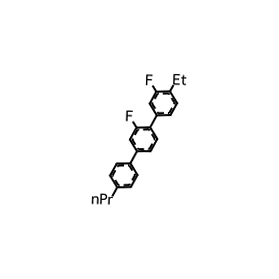 CCCc1ccc(-c2ccc(-c3ccc(CC)c(F)c3)c(F)c2)cc1